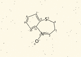 [O-][N+]1=CCCSc2ccccc21